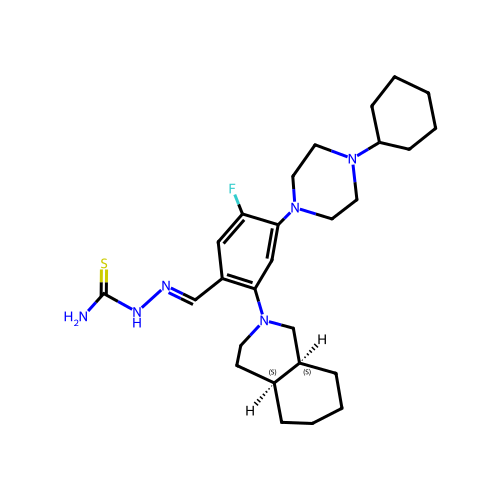 NC(=S)NN=Cc1cc(F)c(N2CCN(C3CCCCC3)CC2)cc1N1CC[C@@H]2CCCC[C@@H]2C1